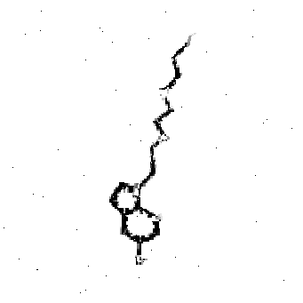 FCCOCCOCCn1ccc2cc(Br)cnc21